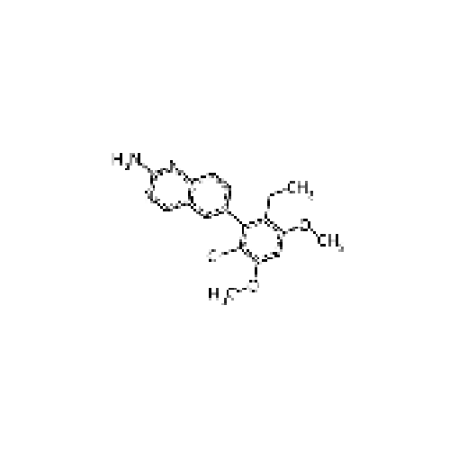 CCc1c(OC)cc(OC)c(Cl)c1-c1ccc2nc(N)ncc2c1